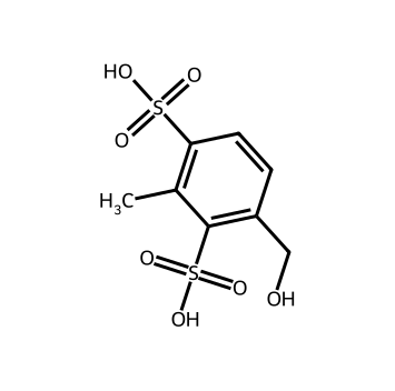 Cc1c(S(=O)(=O)O)ccc(CO)c1S(=O)(=O)O